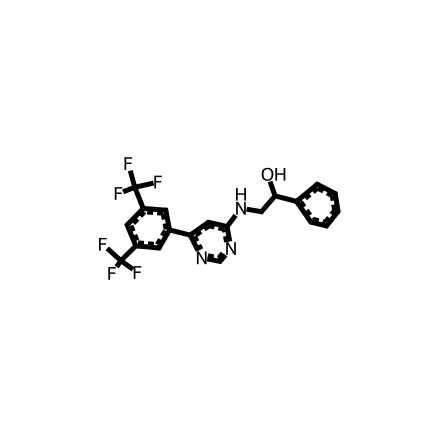 OC(CNc1cc(-c2cc(C(F)(F)F)cc(C(F)(F)F)c2)ncn1)c1ccccc1